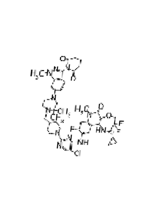 Cn1nc(N2C(=O)CCCC2=O)c2ccc(N3CCN(CC4CCN(c5ncc(Cl)c(Nc6cc7c8c(c(=O)n(C)c7cc6F)OCC(F)(F)[C@H](C6CC6)N8)n5)CC4)C(C)(C)C3)cc21